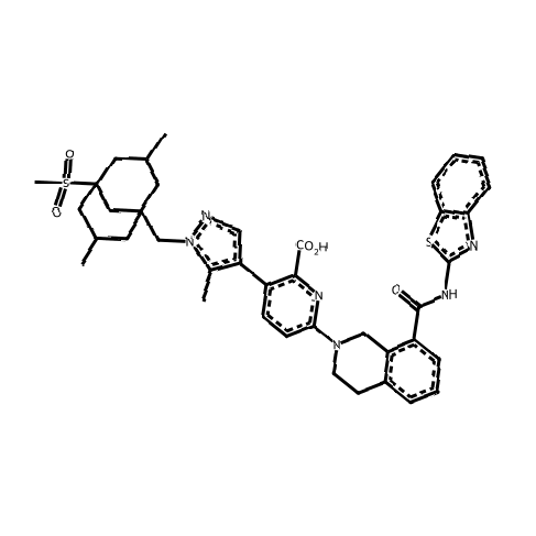 Cc1c(-c2ccc(N3CCc4cccc(C(=O)Nc5nc6ccccc6s5)c4C3)nc2C(=O)O)cnn1CC12CC(C)CC(S(C)(=O)=O)(CC(C)C1)C2